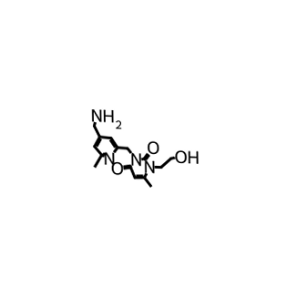 Cc1cc(CN)cc(Cn2c(=O)cc(C)n(CCO)c2=O)n1